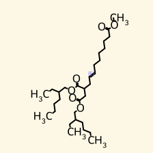 CCCCC(CC)COC(=O)CC(C/C=C/CCCCCCC(=O)OC)C(=O)OCC(CC)CCCC